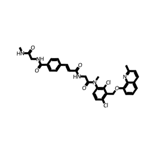 CNC(=O)CNC(=O)c1ccc(/C=C/C(=O)NCC(=O)N(C)c2ccc(Cl)c(COc3cccc4ccc(C)nc34)c2Cl)cc1